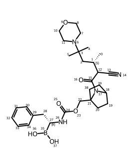 C[C@@H](CC(C)(C)N1CCOCC1)C(C#N)C(=O)N1C2CCC1(COC(=O)N[C@@H](Cc1ccccc1)B(O)O)CC2